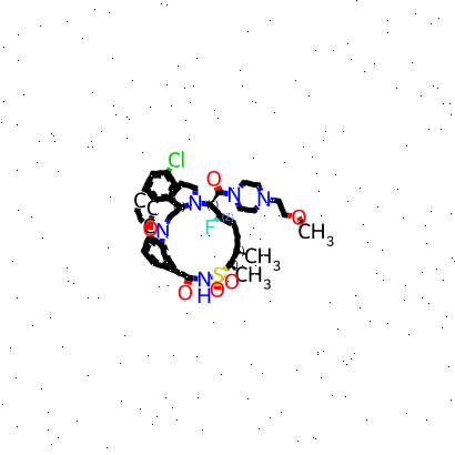 COCCN1CCN(C(=O)[C@H]2/C(F)=C/C[C@H](C)[C@@H](C)S(=O)(=O)NC(=O)c3ccc4c(c3)N3CCCCc5cc(Cl)cc(c5CO4)[C@]4(CCCN24)C3)CC1